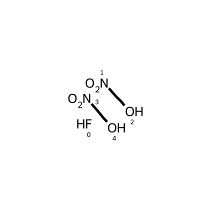 F.O=[N+]([O-])O.O=[N+]([O-])O